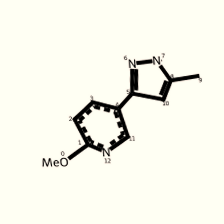 COc1ccc(C2=N[N]C(C)=C2)cn1